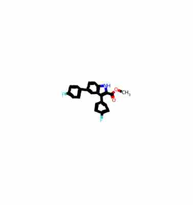 COC(=O)c1[nH]c2ccc(-c3ccc(F)cc3)cc2c1-c1ccc(F)cc1